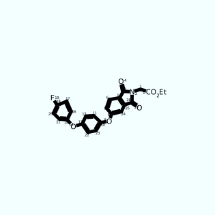 CCOC(=O)CN1C(=O)c2ccc(Oc3ccc(Oc4ccc(F)cc4)cc3)cc2C1=O